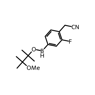 COC(C)(C)C(C)(C)OBc1ccc(CC#N)c(F)c1